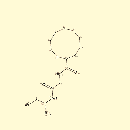 B[C@H](CC(C)C)NC(=O)CNC(=O)C1CCCCCCCCC1